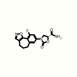 NC(=O)[C@H]1CN(c2cc(F)c3c(c2)CCCc2cnoc2-3)C(=O)O1